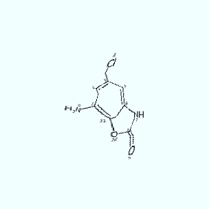 Nc1cc(Cl)cc2[nH]c(=O)oc12